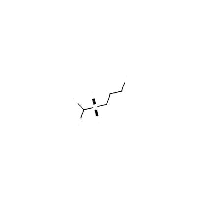 CCCCS(=O)(=O)C(C)O